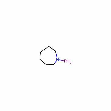 PN1CCCCCC1